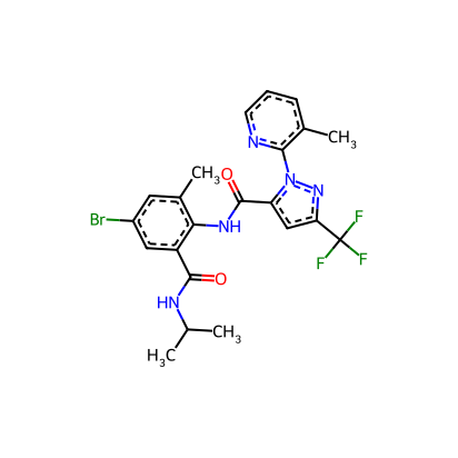 Cc1cccnc1-n1nc(C(F)(F)F)cc1C(=O)Nc1c(C)cc(Br)cc1C(=O)NC(C)C